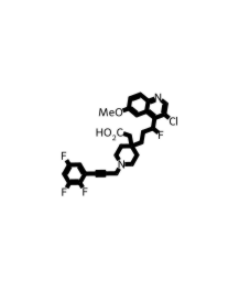 COc1ccc2ncc(Cl)c(C(F)CCC3(CC(=O)O)CCN(CC#Cc4cc(F)cc(F)c4F)CC3)c2c1